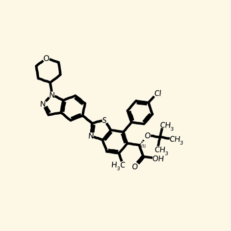 Cc1cc2nc(-c3ccc4c(cnn4C4CCOCC4)c3)sc2c(-c2ccc(Cl)cc2)c1[C@H](OC(C)(C)C)C(=O)O